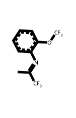 CC(=Nc1ccccc1OC(F)(F)F)C(F)(F)F